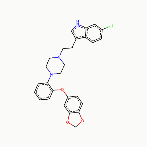 Clc1ccc2c(CCN3CCN(c4ccccc4Oc4ccc5c(c4)OCO5)CC3)c[nH]c2c1